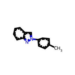 Cc1ccc(-n2cc3ccccc3n2)cc1